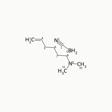 BC#N.C=CCCCCN(C)C